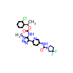 C[C@@H](OC(=O)Nc1c(-c2ccc(NC(=O)N3CCC(F)(F)C3)cn2)nnn1C)c1ccccc1Cl